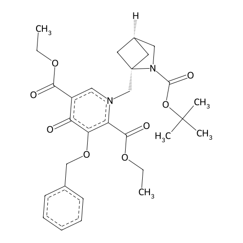 CCOC(=O)c1cn(C[C@]23C[C@H](CN2C(=O)OC(C)(C)C)C3)c(C(=O)OCC)c(OCc2ccccc2)c1=O